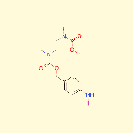 CN(CCN(C)C(=O)OCc1ccc(NI)cc1)C(=O)OI